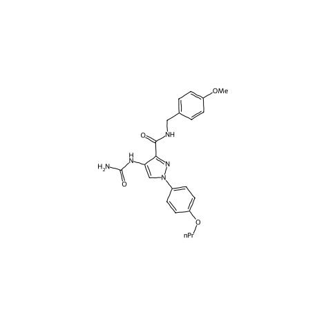 CCCOc1ccc(-n2cc(NC(N)=O)c(C(=O)NCc3ccc(OC)cc3)n2)cc1